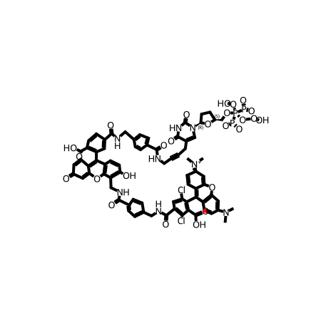 CN(C)c1ccc2c(-c3c(Cl)cc(C(=O)NCc4ccc(C(=O)NCc5c(O)ccc6c(-c7cc(C(=O)NCc8ccc(C(=O)NCC#CCc9cn([C@H]%10CC[C@@H](COP(OO)(OOO)(P(=O)=O)P(=O)=O)O%10)c(=O)[nH]c9=O)cc8)ccc7C(=O)O)c7ccc(=O)cc-7oc56)cc4)c(Cl)c3C(=O)O)c3ccc(=[N+](C)C)cc-3oc2c1